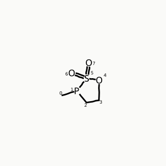 CP1CCOS1(=O)=O